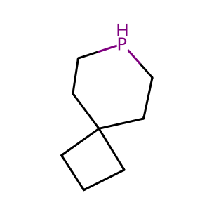 C1CC2(C1)CCPCC2